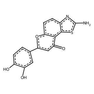 Nc1nc2ccc3oc(-c4ccc(O)c(O)c4)cc(=O)c3c2s1